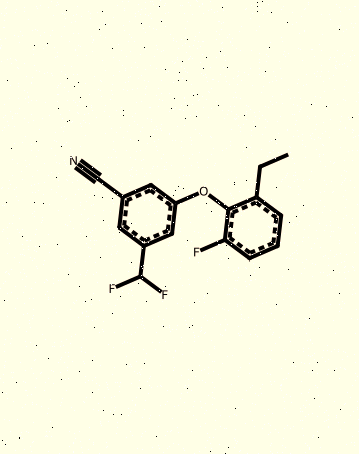 CCc1cc[c]c(F)c1Oc1cc(C#N)cc(C(F)F)c1